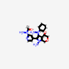 CCC(=O)N(N)c1cc(-c2c(N(N)C3=CCCC=C3)c3c(n2N)COCC3=O)ccn1